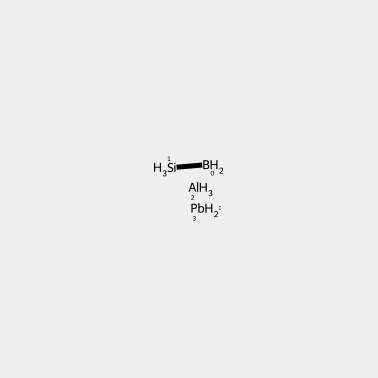 B[SiH3].[AlH3].[PbH2]